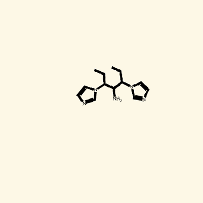 CCC(C(N)C(CC)n1ccnc1)n1ccnc1